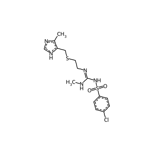 CN/C(=N\CCSCc1[nH]cnc1C)NS(=O)(=O)c1ccc(Cl)cc1